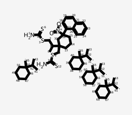 CC(CSC(N)=S)C1(CSC(N)=S)CCCC(c2cccc3ccccc23)([N+](=O)[O-])C1.[CH2]C(C)C1([CH2])CCCCC1.[CH2]C(C)C1([CH2])CCCCC1.[CH2]C(C)C1([CH2])CCCCC1.[CH2]C(C)C1([CH2])CCCCC1